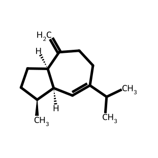 C=C1CCC(C(C)C)=C[C@H]2[C@@H](C)CC[C@@H]12